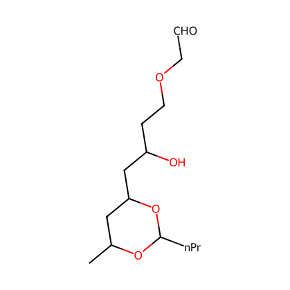 CCCC1OC(C)CC(CC(O)CCOCC=O)O1